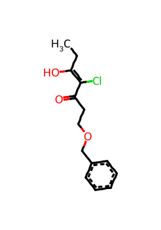 CC/C(O)=C(\Cl)C(=O)CCOCc1ccccc1